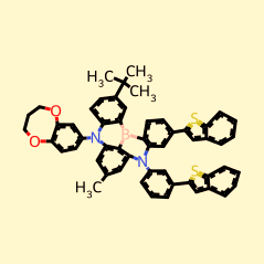 Cc1cc2c3c(c1)N(c1cccc(-c4cc5ccccc5s4)c1)c1cc(-c4cc5ccccc5s4)ccc1B3c1cc(C(C)(C)C)ccc1N2c1ccc2c(c1)OCCCO2